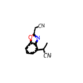 CC(C#N)c1cccc2oc(CC#N)nc12